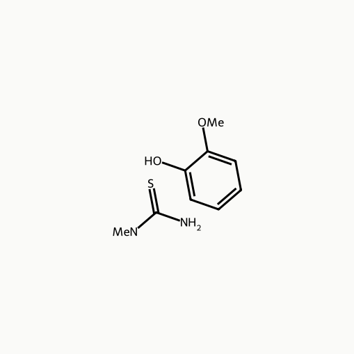 CNC(N)=S.COc1ccccc1O